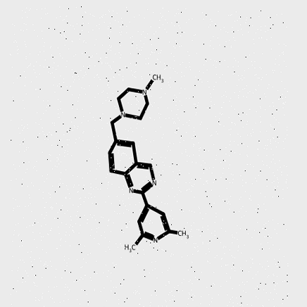 Cc1cc(-c2ncc3cc(CN4CCN(C)CC4)ccc3n2)cc(C)n1